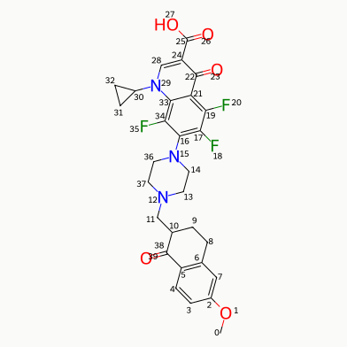 COc1ccc2c(c1)CCC(CN1CCN(c3c(F)c(F)c4c(=O)c(C(=O)O)cn(C5CC5)c4c3F)CC1)C2=O